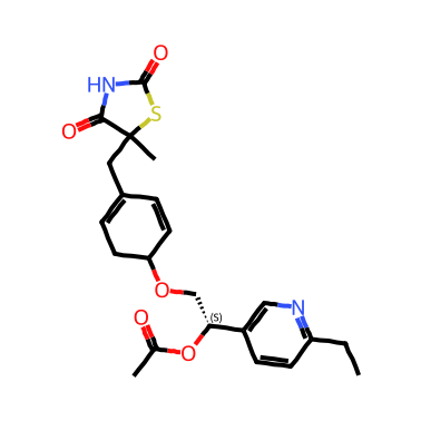 CCc1ccc([C@@H](COC2C=CC(CC3(C)SC(=O)NC3=O)=CC2)OC(C)=O)cn1